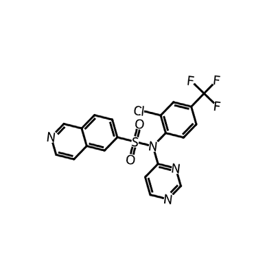 O=S(=O)(c1ccc2cnccc2c1)N(c1ccncn1)c1ccc(C(F)(F)F)cc1Cl